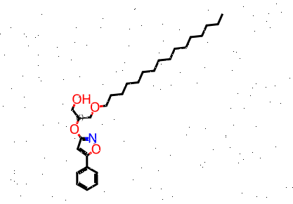 CCCCCCCCCCCCCCCCOC[C@H](CO)Oc1cc(-c2ccccc2)on1